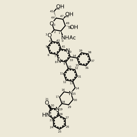 CC(=O)N[C@H]1C(Oc2ccc3nc(-c4ccc(CN5CCC(n6c(=O)[nH]c7ccccc76)CC5)cc4)c(-c4ccccc4)nc3c2)O[C@H](CO)[C@@H](O)[C@@H]1O